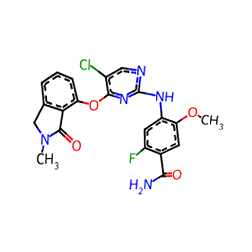 COc1cc(C(N)=O)c(F)cc1Nc1ncc(Cl)c(Oc2cccc3c2C(=O)N(C)C3)n1